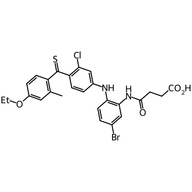 CCOc1ccc(C(=S)c2ccc(Nc3ccc(Br)cc3NC(=O)CCC(=O)O)cc2Cl)c(C)c1